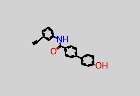 C#Cc1cccc(NC(=O)c2ccc(-c3ccc(O)cc3)cc2)c1